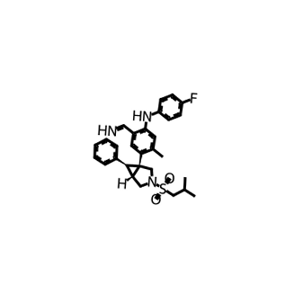 Cc1cc(Nc2ccc(F)cc2)c(C=N)cc1[C@@]12CN(S(=O)(=O)CC(C)C)C[C@@H]1[C@H]2c1ccccc1